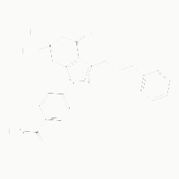 CC1(C)CC(=O)c2c(COCc3ccccc3)nn(-c3ccc(C(N)=O)cc3)c2C1